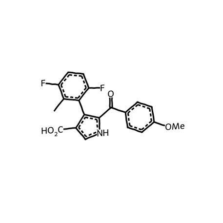 COc1ccc(C(=O)c2[nH]cc(C(=O)O)c2-c2c(F)ccc(F)c2C)cc1